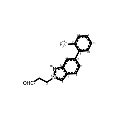 O=CCCn1cc2ccc(-c3ccccc3C(F)(F)F)cc2n1